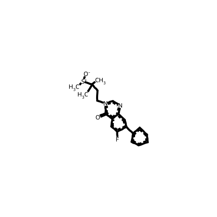 C[S+]([O-])C(C)(C)CCn1cnc2cc(-c3ccccc3)c(F)cc2c1=O